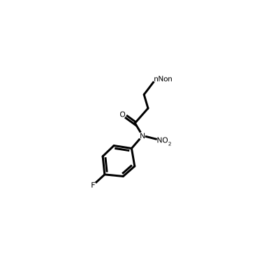 CCCCCCCCCCCC(=O)N(c1ccc(F)cc1)[N+](=O)[O-]